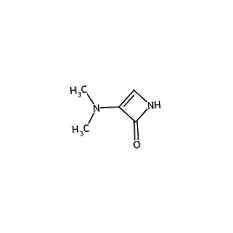 CN(C)C1=CNC1=O